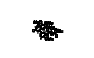 COc1ccc(C2=CC(=O)COc3c2cc(OC)c(OC)c3OC)cc1NC(=O)C(CC(C)C)NC(=O)OC(C)(C)C